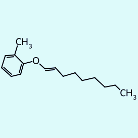 CCCCCCCC=COc1ccccc1C